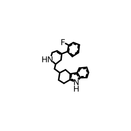 Fc1ccccc1C1=CCNC(CC2CCc3[nH]c4ccccc4c3C2)C1